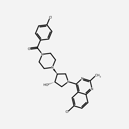 Cc1nc(N2C[C@H](O)[C@@H](N3CCN(C(=O)c4ccc(Cl)cc4)CC3)C2)c2cc(Cl)ccc2n1